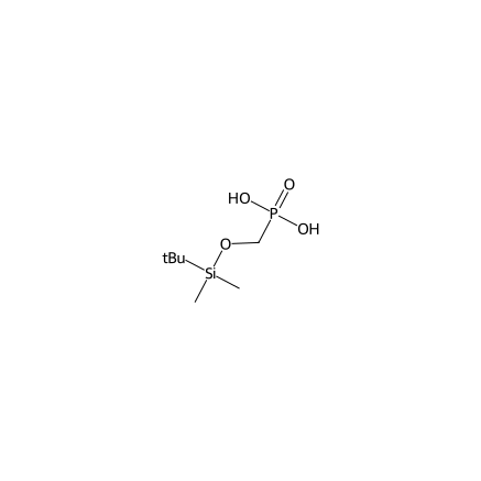 CC(C)(C)[Si](C)(C)OCP(=O)(O)O